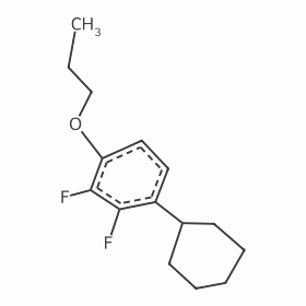 CCCOc1ccc(C2CCCCC2)c(F)c1F